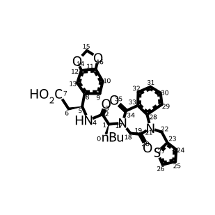 CCCC[C@@H](C(=O)N[C@@H](CC(=O)O)c1ccc2c(c1)OCO2)N1CC(=O)N(Cc2cccs2)c2ccccc2C1=O